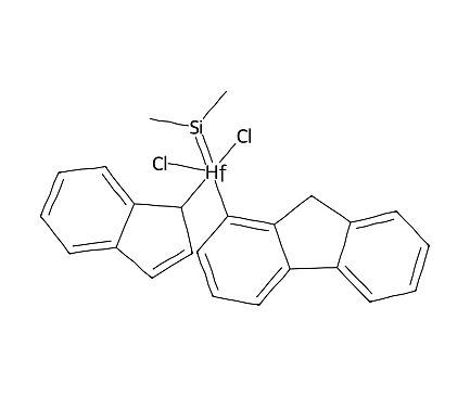 C[Si](C)=[Hf]([Cl])([Cl])([c]1cccc2c1Cc1ccccc1-2)[CH]1C=Cc2ccccc21